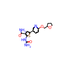 NC(=O)Nc1sc(-c2ccc(OCC3CCCO3)nc2)cc1C(N)=O